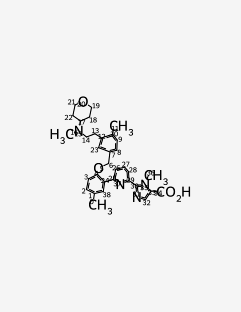 Cc1ccc(OCc2ccc(C)c(CCN(C)C3CCOCC3)c2)c(-c2cccc(-c3ncc(C(=O)O)n3C)n2)c1